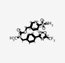 CN(Cc1ccc(-c2noc(C(F)(F)F)n2)cc1)C(=O)OCc1ccc(S(N)(=O)=O)nc1